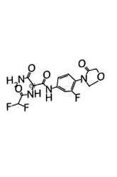 NC(=O)[C@H](NC(=O)C(F)F)C(=O)Nc1ccc(N2CCOCC2=O)c(F)c1